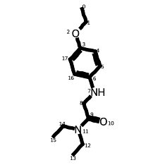 CCOc1ccc(NCC(=O)N(CC)CC)cc1